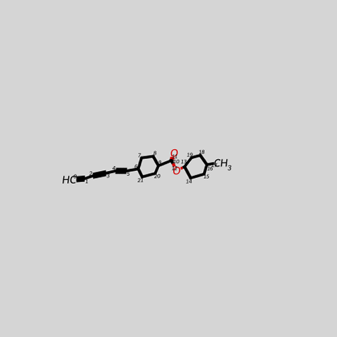 C#CC#CC#CC1CCC(C(=O)OC2CCC(C)CC2)CC1